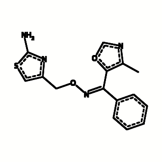 Cc1ncoc1C(=NOCc1csc(N)n1)c1ccccc1